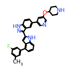 Cc1cc(F)cc(-c2cccc3[nH]c(-c4n[nH]c5ccc(-c6cncc(OC7CCNCC7)c6)cc45)cc23)c1